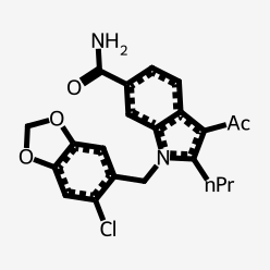 CCCc1c(C(C)=O)c2ccc(C(N)=O)cc2n1Cc1cc2c(cc1Cl)OCO2